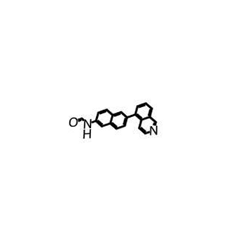 O=CNc1ccc2cc(-c3cccc4cnccc34)ccc2c1